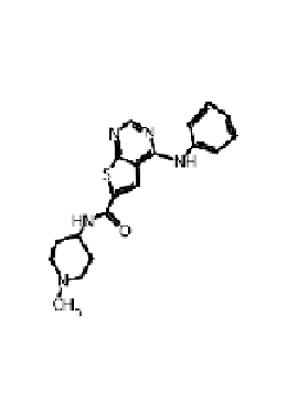 CN1CCC(NC(=O)c2cc3c(Nc4ccccc4)ncnc3s2)CC1